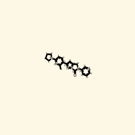 Cc1nc(N2CCCC2)ccc1-c1cc2n(n1)C(=O)N(c1cccnc1)C2